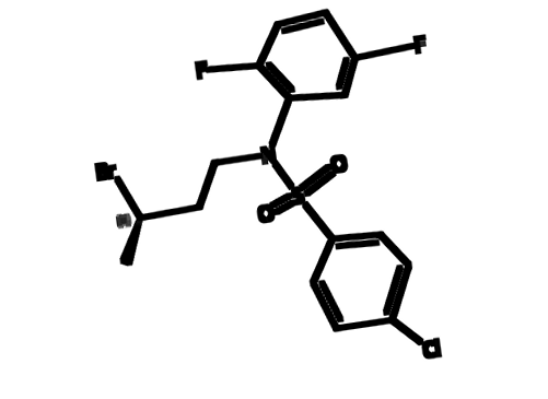 C[C@@H](Br)CCN(c1cc(F)ccc1F)S(=O)(=O)c1ccc(Cl)cc1